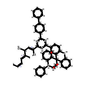 C/C=C\C=C(/C)C(/C=C(\CC)c1nc(-c2ccc(-c3ccccc3)cc2)nc(-c2ccc3c(c2)C2(c4ccccc4S3)c3ccccc3N(c3ccccc3)c3ccccc32)n1)CC